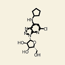 OC[C@H]1O[C@@H](n2nnc3c(NC4CCCC4)cc(Cl)nc32)[C@H](O)[C@@H]1O